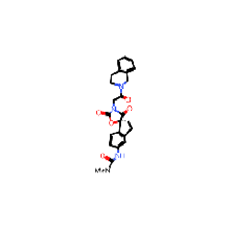 CNC(=O)Nc1ccc2c(c1)CC[C@@]21OC(=O)N(CC(=O)N2CCc3ccccc3C2)C1=O